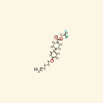 CCCCCOc1ccc(C2CCC(C(=O)OCC(F)F)CC2)cc1